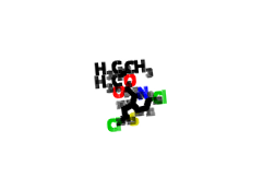 CC(C)(C)OC(=O)c1nc(Cl)cc2sc(Cl)cc12